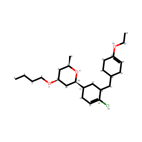 CCCCO[C@H]1C[C@@H](C)O[C@@H](C2CC=C(Cl)C(CC3CC=C(OCC)CC3)C2)C1